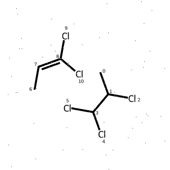 CC(Cl)C(Cl)Cl.CC=C(Cl)Cl